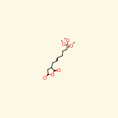 CO[Si](CCCC=CCC1CC(=O)OC1=O)(OC)OC